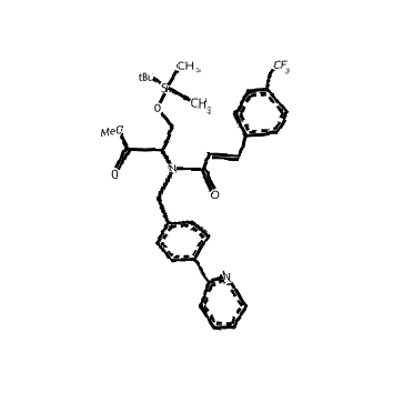 COC(=O)C(CO[Si](C)(C)C(C)(C)C)N(Cc1ccc(-c2ccccn2)cc1)C(=O)C=Cc1ccc(C(F)(F)F)cc1